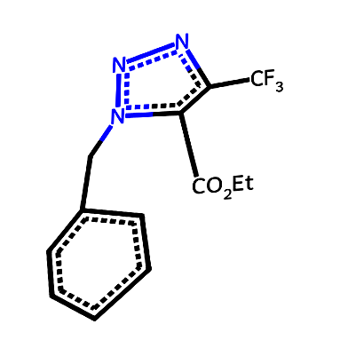 CCOC(=O)c1c(C(F)(F)F)nnn1Cc1ccccc1